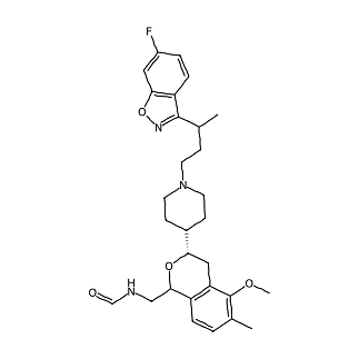 COc1c(C)ccc2c1C[C@@H](C1CCN(CCC(C)c3noc4cc(F)ccc34)CC1)OC2CNC=O